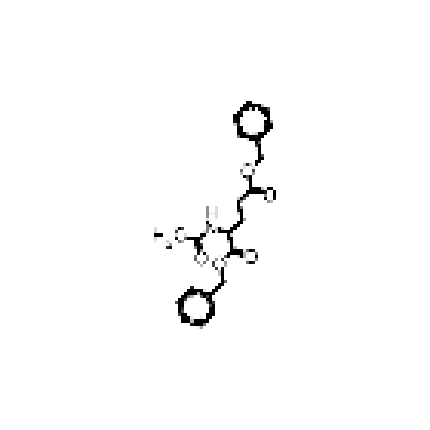 CC(=O)NC(CCC(=O)OCc1ccccc1)C(=O)OCc1ccccc1